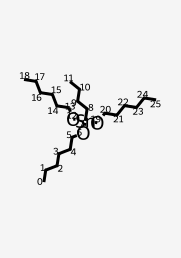 CCCCCC[O][Sn]([CH2]CCC)([O]CCCCCC)[O]CCCCCC